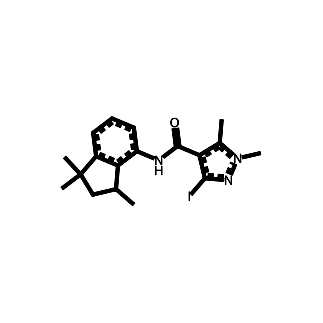 Cc1c(C(=O)Nc2cccc3c2C(C)CC3(C)C)c(I)nn1C